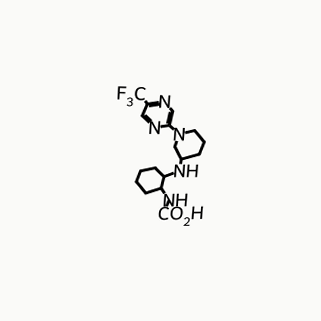 O=C(O)NC1CCCCC1NC1CCCN(c2cnc(C(F)(F)F)cn2)C1